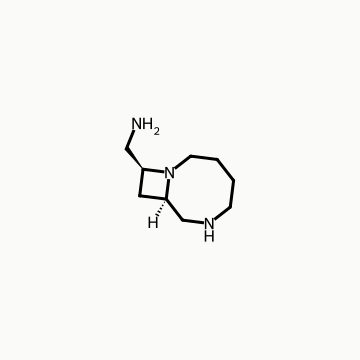 NC[C@@H]1C[C@@H]2CNCCCCN12